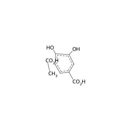 CC(=O)O.O=C(O)c1ccc(O)c(O)c1